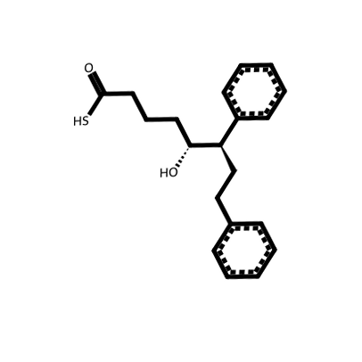 O=C(S)CCC[C@@H](O)[C@H](CCc1ccccc1)c1ccccc1